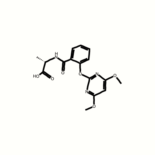 COc1cc(OC)nc(Oc2ccccc2C(=O)N[C@@H](C)C(=O)O)n1